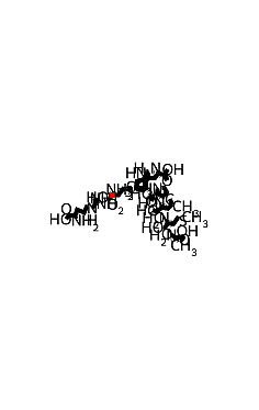 CC(C)C[C@H](N)C(=O)O.CSCC[C@H](N)C(=O)O.CSCC[C@H](N)C(=O)O.C[C@H](N)C(=O)O.N=C(N)NCCC[C@H](N)C(=O)O.N[C@@H](Cc1c[nH]c2ccccc12)C(=O)O.O=C(O)[C@@H]1CCCN1